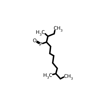 CCC(C)CCCCCC(P=O)C(C)CC